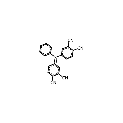 N#Cc1ccc([SH](c2ccccc2)c2ccc(C#N)c(C#N)c2)cc1C#N